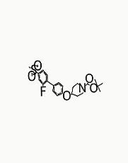 CC(C)(C)OC(=O)N1CCC(Oc2ccc(-c3ccc(S(C)(=O)=O)cc3F)cc2)CC1